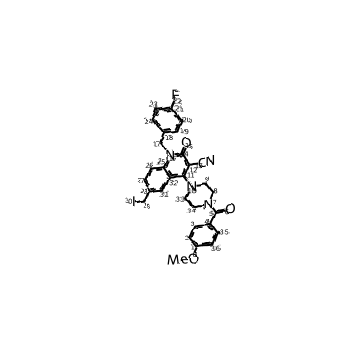 COc1ccc(C(=O)N2CCN(c3c(C#N)c(=O)n(Cc4ccc(F)cc4)c4ccc(CI)cc34)CC2)cc1